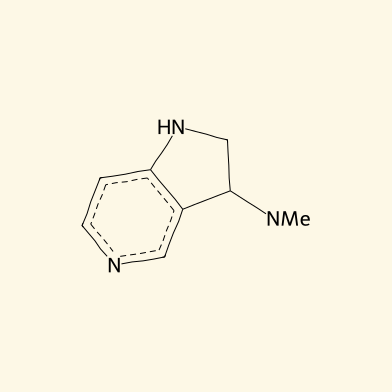 CNC1CNc2ccncc21